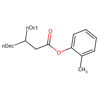 CCCCCCCCCCC(CCCCCCCC)CC(=O)Oc1ccccc1C